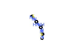 Cc1cc(/N=N/c2ccc(N3CCCC3)s2)ccc1NNc1ccc(/N=N/c2nccs2)cc1